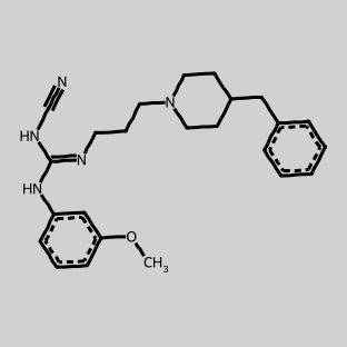 COc1cccc(NC(=NCCCN2CCC(Cc3ccccc3)CC2)NC#N)c1